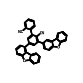 N#Cc1ccccc1-c1cc(-c2cccc3oc4ccccc4c23)cc(-c2ccc3oc4ccccc4c3c2)c1C#N